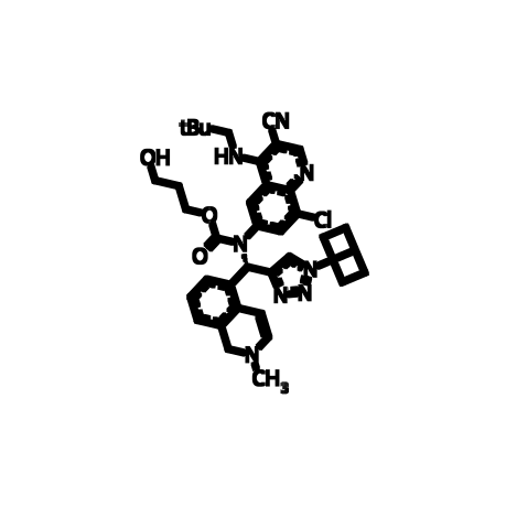 CN1C=Cc2c(cccc2[C@@H](c2cn(C34CCC3CC4)nn2)N(C(=O)OCCCO)c2cc(Cl)c3ncc(C#N)c(NCC(C)(C)C)c3c2)C1